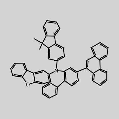 CC1(C)c2ccccc2-c2ccc(N(c3ccc4oc5ccccc5c4c3)c3cc(-c4cc5ccccc5c5ccccc45)ccc3-c3ccccc3)cc21